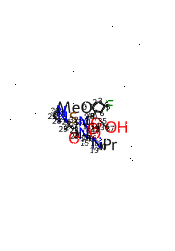 COc1ccc(F)cc1[C@H](Cn1c(=O)n([C@@H](C)C(=O)N(C)C(C)C)c(=O)c2c(C)c(-n3cccn3)sc21)OCCO